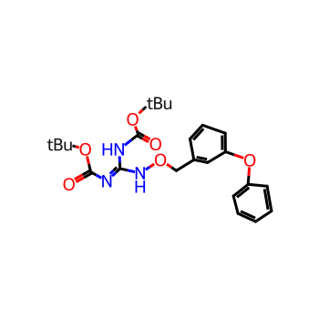 CC(C)(C)OC(=O)N=C(NOCc1cccc(Oc2ccccc2)c1)NC(=O)OC(C)(C)C